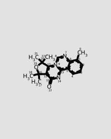 Cc1cccc2c1ncn1c3c(c(=O)nc21)C(C)(C)OC3(C)C